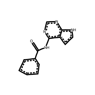 O=C(Nc1ncnc2[nH]ccc12)c1ccccc1